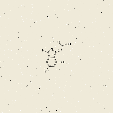 Cc1cc(Br)cc2c(I)nn(CC(=O)O)c12